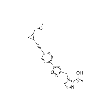 COCC1CC1C#Cc1ccc(-c2cc(Cn3ccnc3[C@H](C)O)no2)cc1